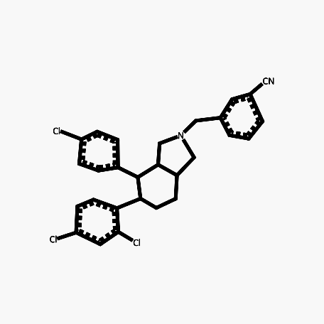 N#Cc1cccc(CN2CC3CCC(c4ccc(Cl)cc4Cl)C(c4ccc(Cl)cc4)C3C2)c1